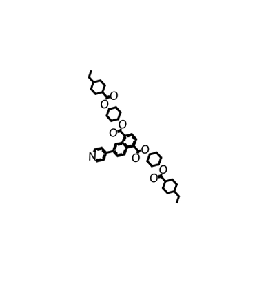 CCC1CCC(C(=O)O[C@H]2CC[C@H](OC(=O)c3ccc(C(=O)O[C@H]4CC[C@H](OC(=O)C5CCC(CC)CC5)CC4)c4cc(-c5ccncc5)ccc34)CC2)CC1